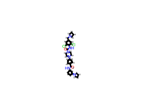 O=C(Nc1cccc(N2CCCC2)c1)c1ccc(N2CCN(C(=O)Nc3c(Cl)cc(CN4CCCC4)cc3Cl)CC2)cc1